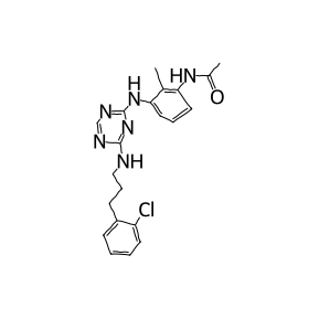 CC(=O)Nc1cccc(Nc2ncnc(NCCCc3ccccc3Cl)n2)c1C